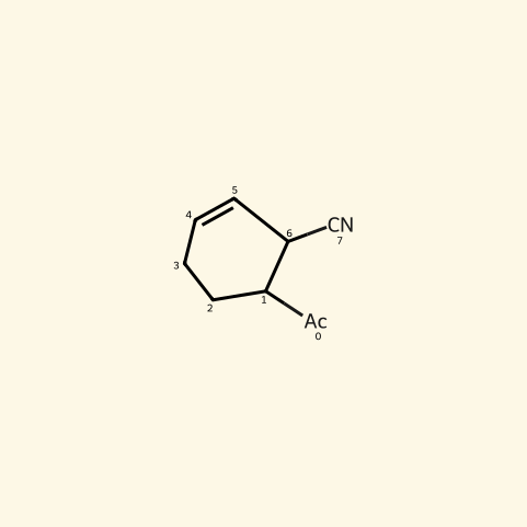 CC(=O)C1CCC=CC1C#N